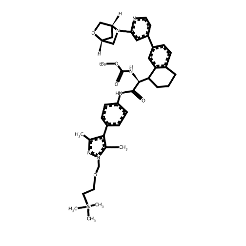 Cc1nn(COCC[Si](C)(C)C)c(C)c1-c1ccc(NC(=O)[C@@H](NC(=O)OC(C)(C)C)C2CCCc3ccc(-c4ccnc(N5C[C@H]6C[C@@H]5CO6)c4)cc32)cc1